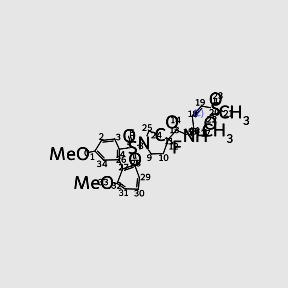 COc1ccc(S(=O)(=O)N2CCC(F)(C(=O)N[C@@H](C)/C=C\S(C)(=O)=O)CC2)c(-c2ccccc2OC)c1